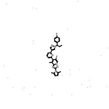 CCC(c1ccc(F)cc1)n1cc(-c2cccc(-c3c(F)cn4nc(-n5c(C)ccc5C)nc4c3C)n2)cn1